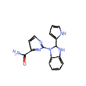 NC(=O)c1ccnc(N2c3ccccc3NC2c2ccc[nH]2)n1